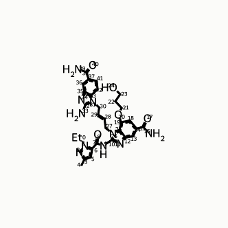 CCn1nc(C)cc1C(=O)Nc1nc2cc(C(N)=O)cc(OCCCO)c2n1C/C=C/Cn1c(N)nc2cc(C(N)=O)ccc21